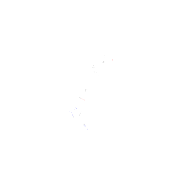 C[C@@]1(O)CC[C@@H]2C3CC[C@]4(C)C(C(=O)Cn5cc(C#N)cn5)CCC4C3CC[C@@H]2C1